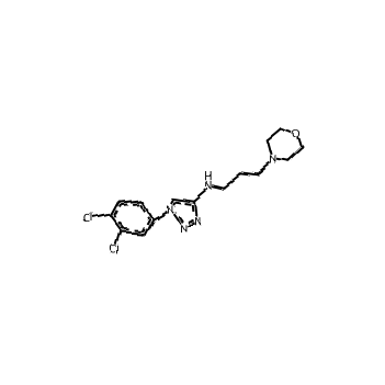 Clc1ccc(-n2cc(NCCCN3CCOCC3)nn2)cc1Cl